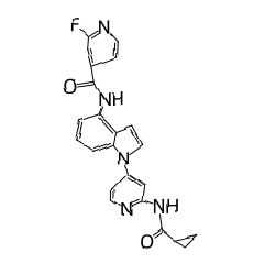 O=C(Nc1cccc2c1ccn2-c1ccnc(NC(=O)C2CC2)c1)c1ccnc(F)c1